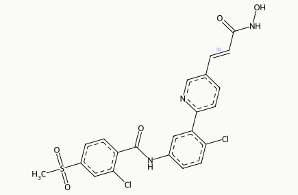 CS(=O)(=O)c1ccc(C(=O)Nc2ccc(Cl)c(-c3ccc(/C=C/C(=O)NO)cn3)c2)c(Cl)c1